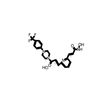 Cl.O=C(/C=C/c1cccc(/C=C/C(=O)N2CCN(c3ccc(C(F)(F)F)cc3)CC2)n1)NO